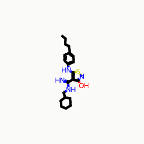 CCCCc1ccc(Nc2snc(O)c2C(=N)NCC2CCCCC2)cc1